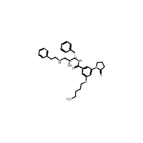 CCCCCOc1cc(C(=O)N[C@@H](Cc2ccccc2)[C@@H](O)CNCCc2ccccc2)cc(N2CCCC2=O)c1